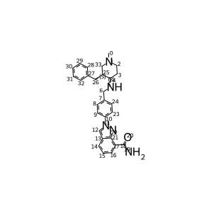 CN1CC[C@@H](NCc2ccc(-n3cc4cccc(C(N)=O)c4n3)cc2)[C@@H](Cc2ccccc2)C1